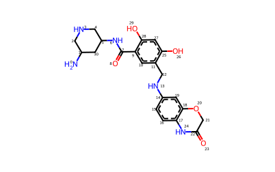 NC1CNCC(NC(=O)c2cc(CNc3ccc4c(c3)OCC(=O)N4)c(O)cc2O)C1